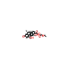 CCOCC(=O)OCC(=O)[C@@]1(O)CC[C@H]2[C@@H]3C[C@H](C)C4=CC(=O)C=C[C@]4(C)[C@H]3[C@@H](O)C[C@@]21C